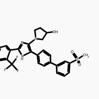 CS(=O)(=O)c1cccc(-c2ccc(-c3[nH]c(-c4ccccc4C(F)(F)F)nc3N3CCC(O)C3)cc2)c1